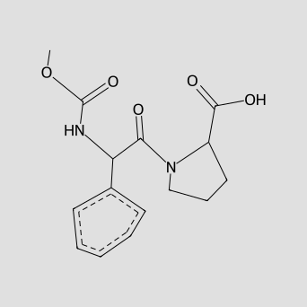 COC(=O)NC(C(=O)N1CCCC1C(=O)O)c1ccccc1